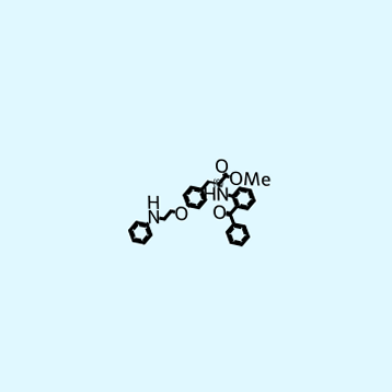 COC(=O)[C@H](Cc1ccc(OCCNc2ccccc2)cc1)Nc1ccccc1C(=O)c1ccccc1